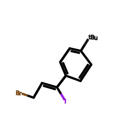 CC(C)(C)c1ccc(C(I)=CCBr)cc1